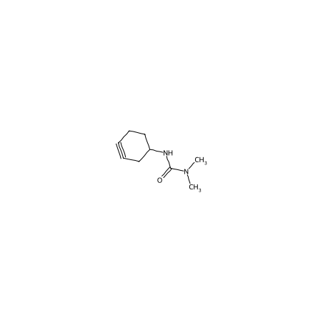 CN(C)C(=O)NC1CC#CCC1